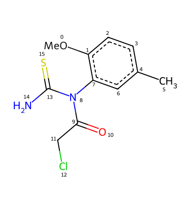 COc1ccc(C)cc1N(C(=O)CCl)C(N)=S